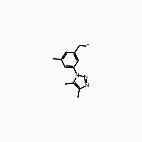 Cc1cc(CF)cc(-n2nnc(C)c2C)c1